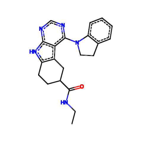 CCNC(=O)C1CCc2[nH]c3ncnc(N4CCc5ccccc54)c3c2C1